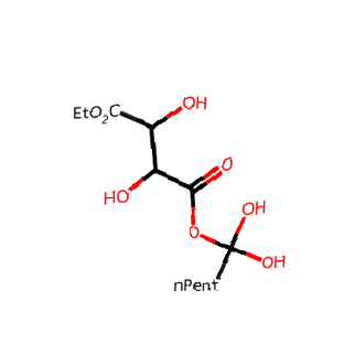 CCCCCC(O)(O)OC(=O)C(O)C(O)C(=O)OCC